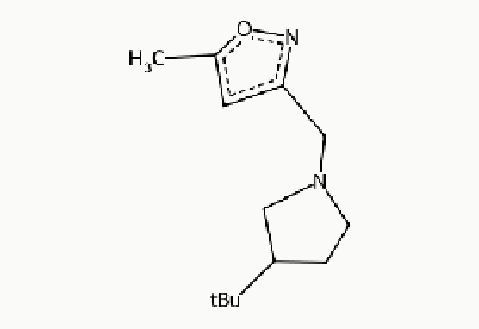 Cc1cc(CN2CCC(C(C)(C)C)C2)no1